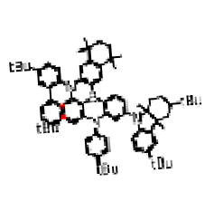 CC(C)(C)c1ccc(N2c3cc(N4c5ccc(C(C)(C)C)cc5C5(C)CC(C(C)(C)C)CCC45C)ccc3B3c4cc5c(cc4N(c4ccc(C(C)(C)C)cc4-c4ccccc4)c4cc(C(C)(C)C)cc2c43)C(C)(C)CCC5(C)C)cc1